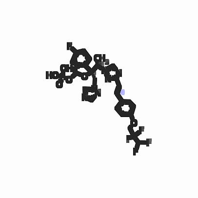 C[C@@H](n1cnc(/C=C/c2ccc(OCC(F)(F)C(F)F)cc2)n1)[C@@](Cn1cncn1)(OCOP(=O)(O)O)c1ccc(F)cc1F